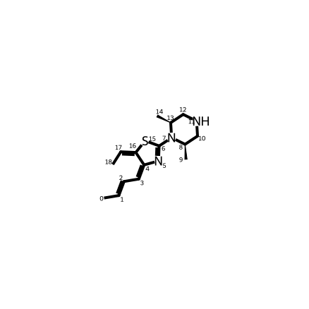 C/C=C/C=c1/nc(N2[C@H](C)CNC[C@@H]2C)s/c1=C/C